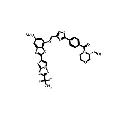 COc1cc(OCc2csc(-c3ccc(C(=O)N4CCOC[C@H]4CO)cc3)n2)c2sc(-c3cn4nc(C(C)(F)F)sc4n3)nc2c1